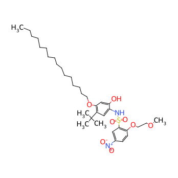 CCCCCCCCCCCCCCCCOc1cc(O)c(NS(=O)(=O)c2cc([N+](=O)[O-])ccc2OCCOC)cc1C(C)(C)C